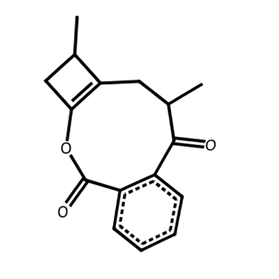 CC1CC2=C(CC2C)OC(=O)c2ccccc2C1=O